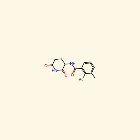 CC(=O)C1=C(C(=O)NC2CCC(=O)NC2=O)C=C=C=C1C